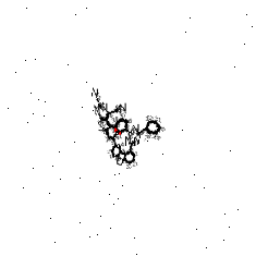 N#Cc1nc(C#N)c2c(n1)sc1cc(-c3ccc4oc5cccc(-c6nc(-c7ccccc7)nc(-c7ccccc7)n6)c5c4c3)ccc12